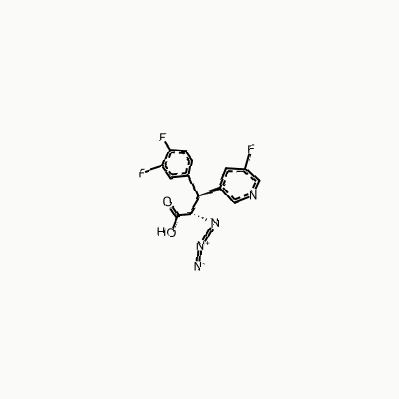 [N-]=[N+]=N[C@H](C(=O)O)[C@H](c1cncc(F)c1)c1ccc(F)c(F)c1